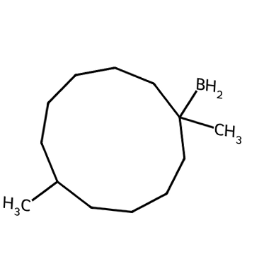 BC1(C)CCCCCC(C)CCCC1